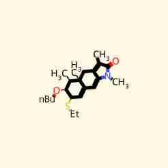 CCCCO[C@H]1[C@H](SCC)C=C2C=C3C(=C(C)C(=O)N3C)C[C@]2(C)[C@H]1C